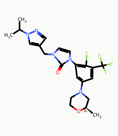 CC(C)n1cc(Cn2ccn(-c3cc(N4CCO[C@H](C)C4)cc(C(F)(F)F)c3F)c2=O)cn1